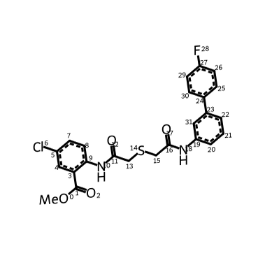 COC(=O)c1cc(Cl)ccc1NC(=O)CSCC(=O)Nc1cccc(-c2ccc(F)cc2)c1